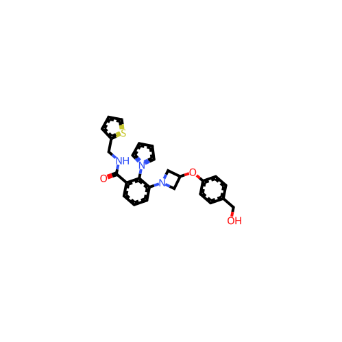 O=C(NCc1cccs1)c1cccc(N2CC(Oc3ccc(CO)cc3)C2)c1-n1cccc1